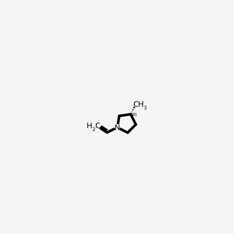 C=CN1CC[C@@H](C)C1